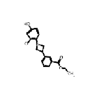 CCOC(=O)c1cccc(C2CN(c3ccc(O)cc3Cl)C2)c1